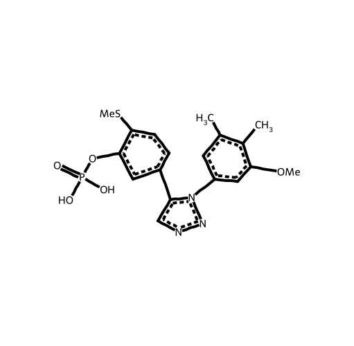 COc1cc(-n2nncc2-c2ccc(SC)c(OP(=O)(O)O)c2)cc(C)c1C